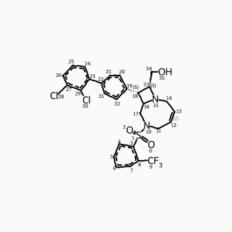 O=S(=O)(c1ccccc1C(F)(F)F)N1C/C=C\CN2C(C1)[C@H](c1ccc(-c3cccc(Cl)c3Cl)cc1)[C@H]2CO